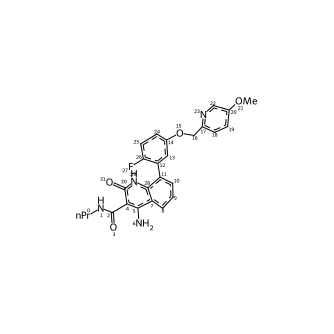 CCCNC(=O)c1c(N)c2cccc(-c3cc(OCc4ccc(OC)cn4)ccc3F)c2[nH]c1=O